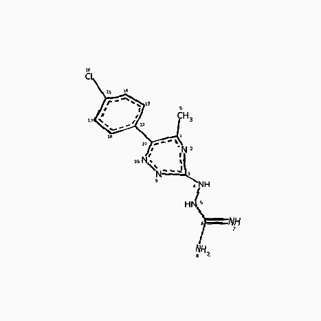 Cc1nc(NNC(=N)N)nnc1-c1ccc(Cl)cc1